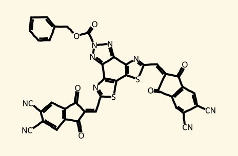 N#Cc1cc2c(cc1C#N)C(=O)C(=Cc1nc3c4nn(C(=O)OCc5ccccc5)nc4c4nc(C=C5C(=O)c6cc(C#N)c(C#N)cc6C5=O)sc4c3s1)C2=O